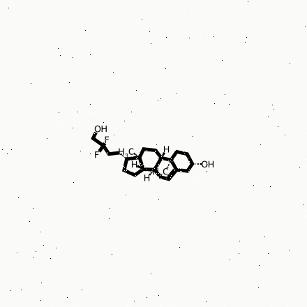 C[C@]12CC[C@H]3[C@@H](CC=C4C[C@@H](O)CC[C@@]43C)[C@@H]1CC[C@@H]2CCC(F)(F)CO